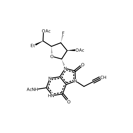 C#CCn1c(=O)n([C@@H]2O[C@H]([C@@H](CC)OC(C)=O)[C@H](F)[C@H]2OC(C)=O)c2nc(NC(C)=O)[nH]c(=O)c21